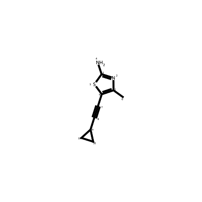 Cc1nc(N)sc1C#CC1CC1